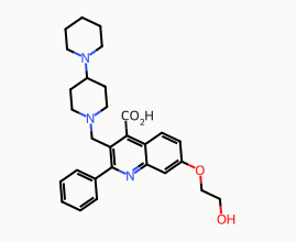 O=C(O)c1c(CN2CCC(N3CCCCC3)CC2)c(-c2ccccc2)nc2cc(OCCO)ccc12